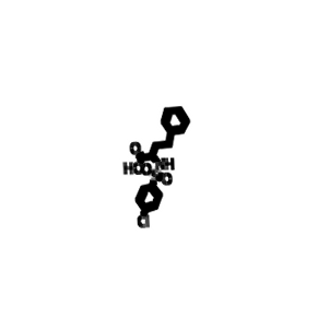 O=C(O)C(CCc1ccccc1)NS(=O)(=O)c1ccc(Cl)cc1